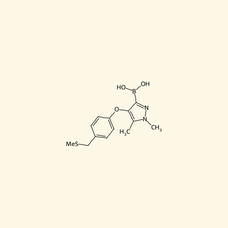 CSCc1ccc(Oc2c(B(O)O)nn(C)c2C)cc1